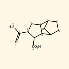 BC(=O)N1CC2C3CCC(C3)C2[C@H]1C(=O)O